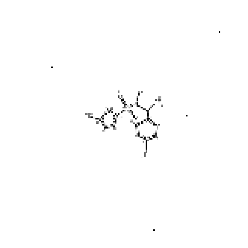 CN(C(c1ccc(F)cc1)C(F)(F)F)S(=O)(=O)c1ccc(Cl)s1